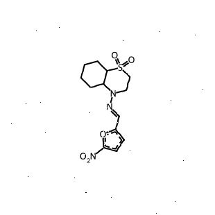 O=[N+]([O-])c1ccc(C=NN2CCS(=O)(=O)C3CCCCC32)o1